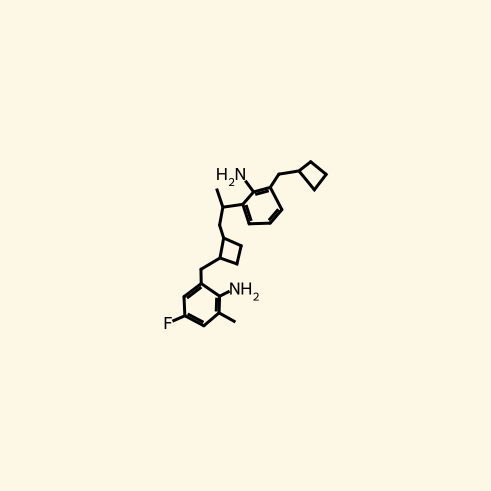 Cc1cc(F)cc(CC2CCC2CC(C)c2cccc(CC3CCC3)c2N)c1N